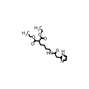 CCOC(=O)C(CCCCNC(=O)Cc1ncc[nH]1)C(=O)OCC